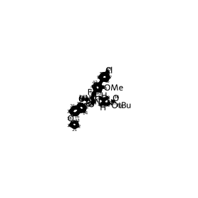 COc1cc(C(F)(F)[C@H](NS(=O)(=O)c2ccc3cc(OC4CCCC4)ccc3c2)C(=O)N2C[C@H]3CN(C(=O)OC(C)(C)C)C[C@H]3C2)ccc1-c1ccc(Cl)cc1